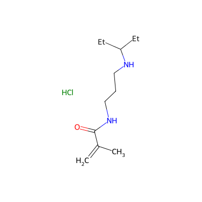 C=C(C)C(=O)NCCCNC(CC)CC.Cl